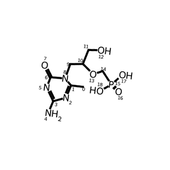 Cc1nc(N)nc(=O)n1CC(CO)OCP(=O)(O)O